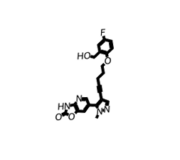 Cn1ncc(C#CCCCOc2ccc(F)cc2CO)c1-c1cnc2[nH]c(=O)oc2c1